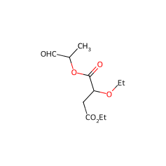 CCOC(=O)CC(OCC)C(=O)OC(C)C=O